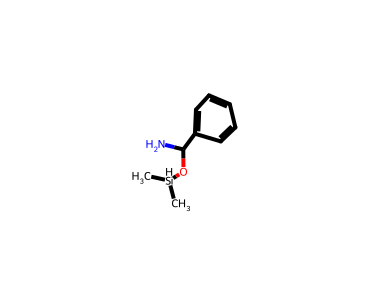 C[SiH](C)OC(N)c1ccccc1